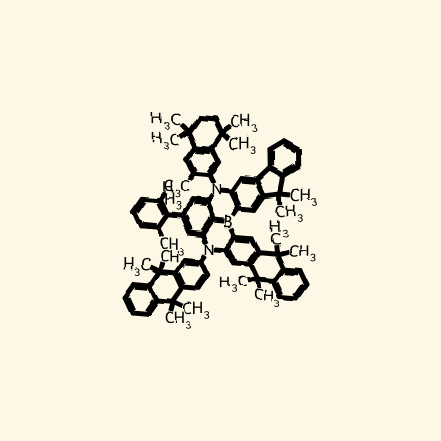 Cc1cc2c(cc1N1c3cc4c(cc3B3c5cc6c(cc5N(c5ccc7c(c5)C(C)(C)c5ccccc5C7(C)C)c5cc(-c7c(C)cccc7C)cc1c53)C(C)(C)c1ccccc1C6(C)C)C(C)(C)c1ccccc1-4)C(C)(C)CCC2(C)C